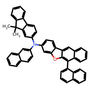 CC1(C)c2ccccc2-c2ccc(N(c3ccc4ccccc4c3)c3ccc4c(c3)oc3c(-c5cccc6ccccc56)c5ccccc5cc34)cc21